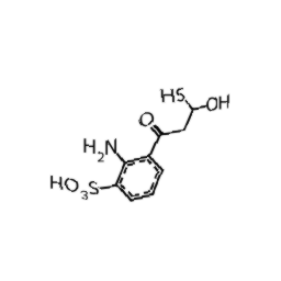 Nc1c(C(=O)CC(O)S)cccc1S(=O)(=O)O